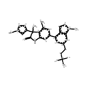 CCCn1cc(C2(C)C(=O)Nc3nc(-c4nc(CCC(F)(F)C(F)(F)F)nc5c4cnn5C)nc(N)c32)nn1